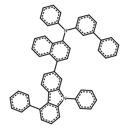 c1ccc(-c2cccc(N(c3ccccc3)c3ccc(-c4ccc5c6c(-c7ccccc7)cccc6n(-c6ccccc6)c5c4)c4ccccc34)c2)cc1